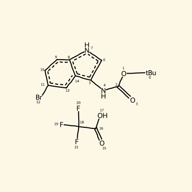 CC(C)(C)OC(=O)Nc1c[nH]c2ccc(Br)cc12.O=C(O)C(F)(F)F